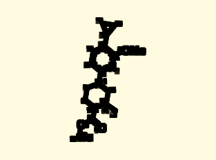 COc1nc(N2CCN(C(=O)OC(C)(C)C)[C@H](C)C2)ccc1C1CC1